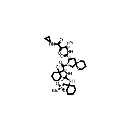 CCC[C@H](NC(=O)[C@@H]1CC2(CN1C(=O)[C@@H](NC(=O)NC1(CS(=O)(=O)C(C)(C)C)CCCCC1)C1(C)CCCCC1)SCCCS2)C(=O)C(=O)NC1CC1